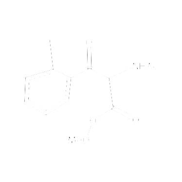 COOC(=O)C(NC(C)=O)C(=O)c1ccccc1C